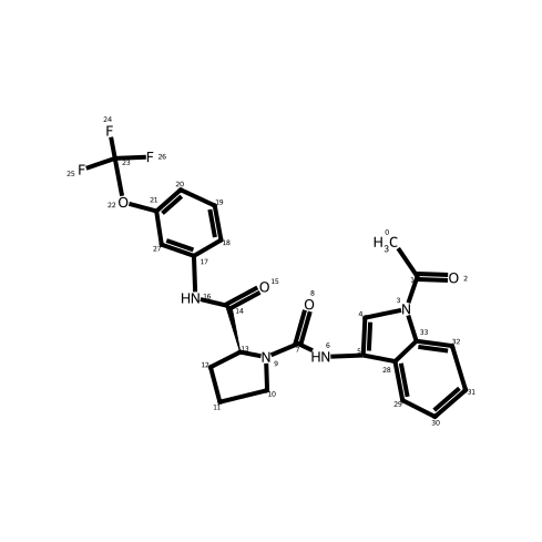 CC(=O)n1cc(NC(=O)N2CCC[C@H]2C(=O)Nc2cccc(OC(F)(F)F)c2)c2ccccc21